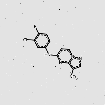 O=[N+]([O-])c1cnn2ccc(Nc3ccc(F)c(Cl)c3)nc12